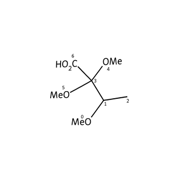 COC(C)C(OC)(OC)C(=O)O